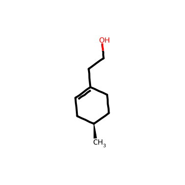 C[C@H]1CC=C(CCO)CC1